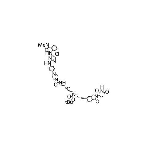 CNC(=O)c1ccccc1Nc1nc(Nc2ccc(N3CCN(C(=O)NCCCOCCN(CCC#Cc4ccc5c(c4)CN(C4CCC(=O)NC4=O)C5=O)C(=O)OC(C)(C)C)CC3)cc2)ncc1Cl